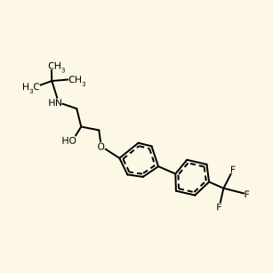 CC(C)(C)NCC(O)COc1ccc(-c2ccc(C(F)(F)F)cc2)cc1